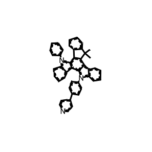 CC1(C)c2ccccc2-c2c1c1c3ccccc3n(-c3ccc(-c4ccncc4)cc3)c1c1c3ccccc3n(-c3ccccc3)c21